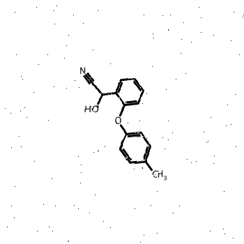 Cc1ccc(Oc2ccccc2C(O)C#N)cc1